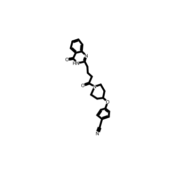 N#Cc1ccc(OC2CCN(C(=O)CCCc3nc4ccccc4c(=O)[nH]3)CC2)cc1